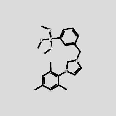 CO[Si](OC)(OC)c1cccc(CN2C=CN(c3c(C)cc(C)cc3C)C2)c1